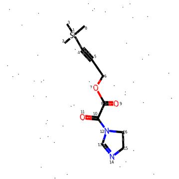 C[Si](C)(C)C#CCOC(=O)C(=O)N1C=NCC1